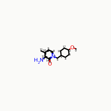 COC1CCC(Cn2ccc(C)c(N)c2=O)CC1